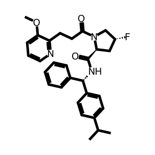 COc1cccnc1CCC(=O)N1C[C@H](F)C[C@H]1C(=O)N[C@@H](c1ccccc1)c1ccc(C(C)C)cc1